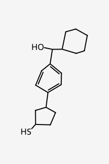 OC(c1ccc(C2CCC(S)C2)cc1)C1CCCCC1